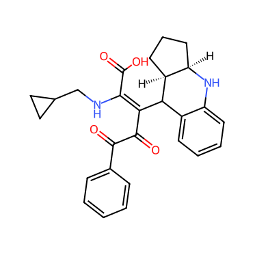 O=C(O)C(NCC1CC1)=C(C(=O)C(=O)c1ccccc1)C1c2ccccc2N[C@@H]2CCC[C@H]12